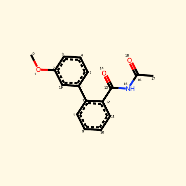 COc1cccc(-c2ccccc2C(=O)NC(C)=O)c1